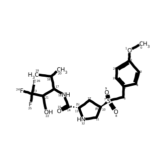 COc1ccc(CS(=O)(=O)[C@H]2CN[C@H](C(=O)NC(C(C)C)C(O)C(F)(F)F)C2)cc1